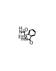 CC[N+]1(C(N)=O)NC(=O)c2c[c]ccc21